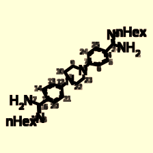 CCCCCCN=C(N)c1ccc(N2CCN(c3ccc(C(N)=NCCCCCC)cc3)CC2)cc1